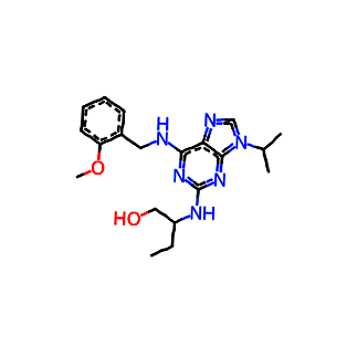 CCC(CO)Nc1nc(NCc2ccccc2OC)c2ncn(C(C)C)c2n1